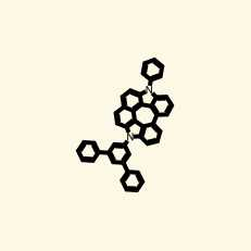 c1ccc(-c2cc(-c3ccccc3)cc(-n3c4cccc5c4c4c6c(ccc7c6c6c-5cccc6n7-c5ccccc5)ccc43)c2)cc1